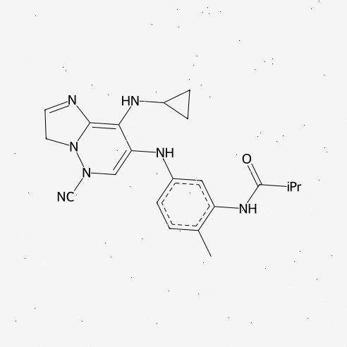 Cc1ccc(NC2=CN(C#N)N3CC=NC3=C2NC2CC2)cc1NC(=O)C(C)C